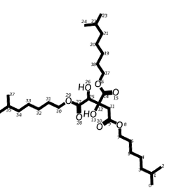 CC(C)CCCCCOC(=O)CC(O)(C(=O)OCCCCCC(C)C)C(O)C(=O)OCCCCCC(C)C